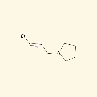 CC/C=C/CN1CCCC1